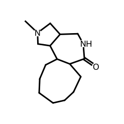 CN1CC2CNC(=O)C3CCCCCCCC3C2C1